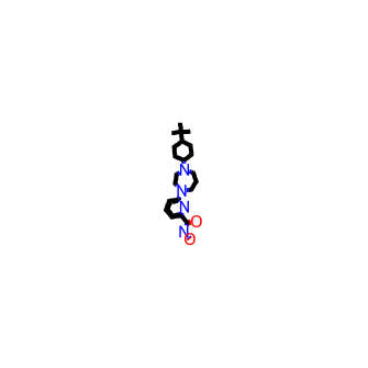 CC(C)(C)C1CCC(N2CCCN(c3cccc(C(=O)N=O)n3)CC2)CC1